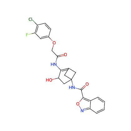 O=C(COc1ccc(Cl)c(F)c1)NC1=C2CC(NC(=O)c3onc4ccccc34)(C2)CC1O